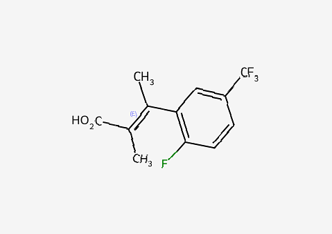 C/C(C(=O)O)=C(/C)c1cc(C(F)(F)F)ccc1F